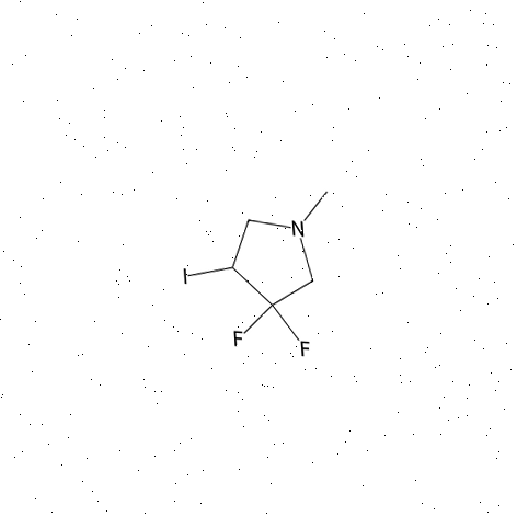 CN1CC(I)C(F)(F)C1